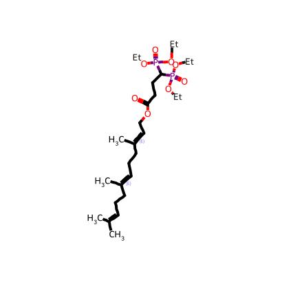 CCOP(=O)(OCC)C(CCC(=O)OC/C=C(\C)CC/C=C(\C)CCC=C(C)C)P(=O)(OCC)OCC